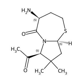 CC(=O)[C@H]1N2C(=O)[C@@H](N)CCS[C@H]2CC1(C)C